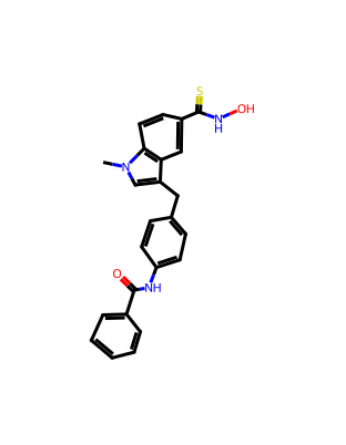 Cn1cc(Cc2ccc(NC(=O)c3ccccc3)cc2)c2cc(C(=S)NO)ccc21